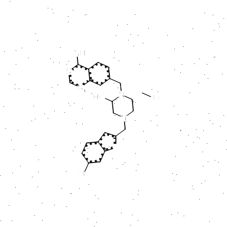 CC(C)C[C@@H]1CN(Cc2cc3ccc(Cl)cc3s2)CC(C=O)N1Cc1ccc2c(N)ncnc2c1